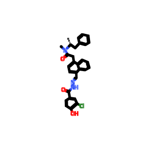 C[C@H](Cc1ccccc1)N(C)C(=O)Cc1ccc(/C=N/NC(=O)c2ccc(O)c(Cl)c2)c2ccccc12